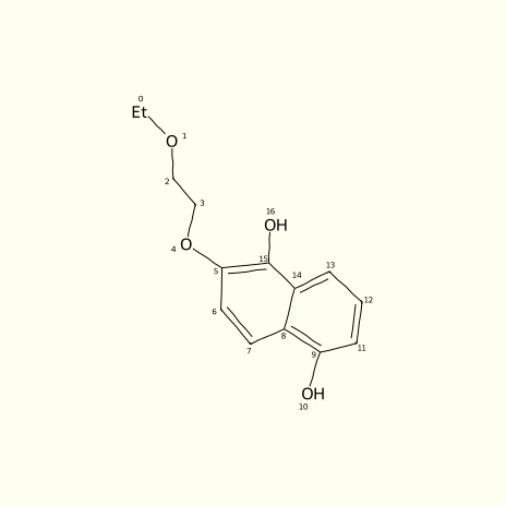 CCOCCOc1ccc2c(O)cccc2c1O